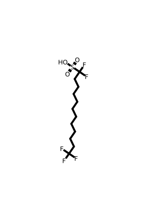 O=S(=O)(O)C(F)(F)CCCCCCCCCCC(F)(F)F